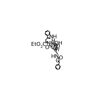 CCOC(=O)[C@H](Cc1c[nH]c2ccccc12)NC(=O)[C@H](CC(C)C)NP(=O)(O)OCCCNC(=O)OCc1ccccc1